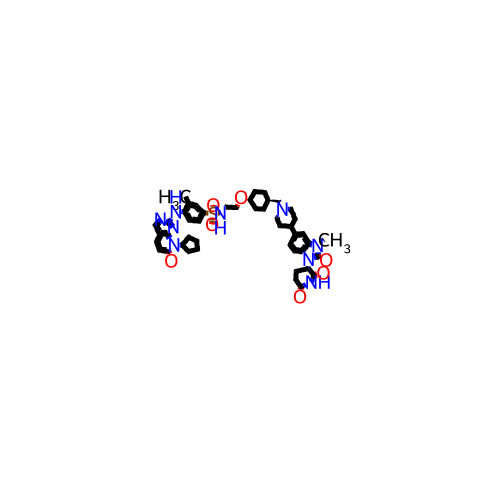 Cc1cc(S(=O)(=O)NCCO[C@H]2CC[C@H](CN3CCC(c4ccc5c(c4)n(C)c(=O)n5C4CCC(=O)NC4=O)CC3)CC2)ccc1Nc1ncc2ccc(=O)n(C3CCCC3)c2n1